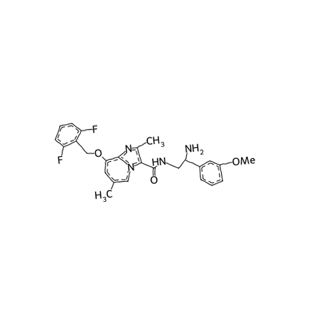 COc1cccc(C(N)CNC(=O)c2c(C)nc3c(OCc4c(F)cccc4F)cc(C)cn23)c1